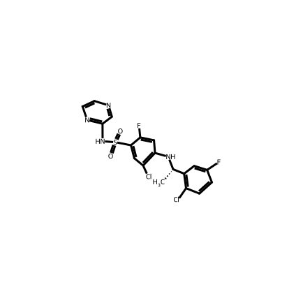 C[C@H](Nc1cc(F)c(S(=O)(=O)Nc2cnccn2)cc1Cl)c1cc(F)ccc1Cl